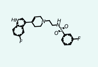 O=S(=O)(NCCN1CC=C(c2c[nH]c3ccc(F)cc23)CC1)c1cccc(F)c1